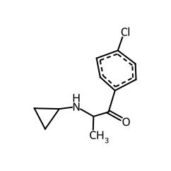 CC(NC1CC1)C(=O)c1ccc(Cl)cc1